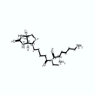 CCN(C(=O)CCCC[C@@H]1SC[C@@H]2NC(=O)N[C@@H]21)C(=O)[C@@H](N)CCCCN